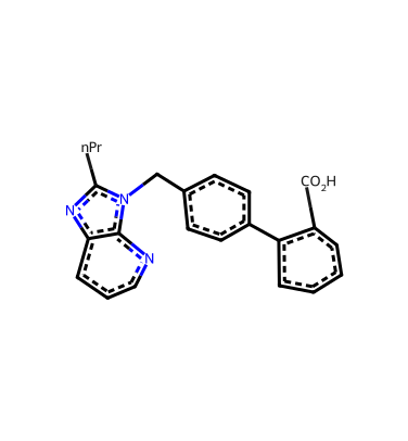 CCCc1nc2cccnc2n1Cc1ccc(-c2ccccc2C(=O)O)cc1